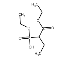 CCOC(=O)C(CC)P(=O)(O)OCC